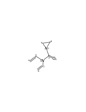 C=CN(C=C)C(=O)N1CC1